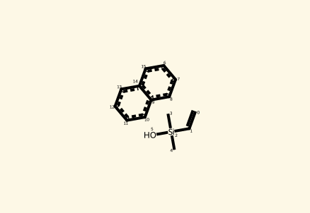 C=C[Si](C)(C)O.c1ccc2ccccc2c1